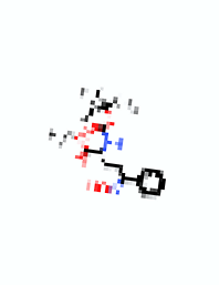 COC(=O)[C@H](CCC(=NO)c1ccccc1)NC(=O)OC(C)(C)C